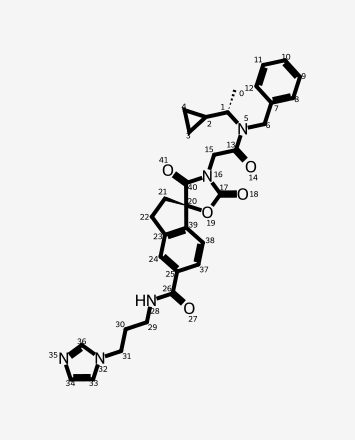 C[C@@H](C1CC1)N(Cc1ccccc1)C(=O)CN1C(=O)O[C@@]2(CCc3cc(C(=O)NCCCn4ccnc4)ccc32)C1=O